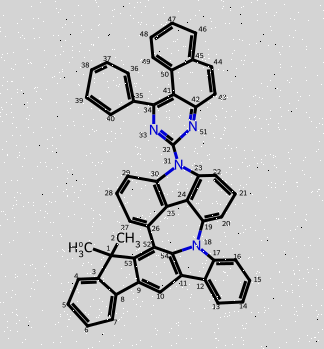 CC1(C)c2ccccc2-c2cc3c4ccccc4n4c5cccc6c5c5c(cccc5n6-c5nc(-c6ccccc6)c6c(ccc7ccccc76)n5)c(c21)c34